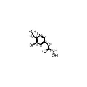 COc1ncc(OC(=O)NO)cc1Br